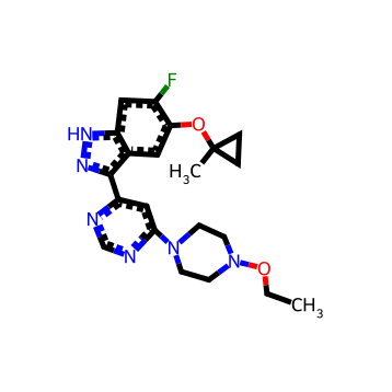 CCON1CCN(c2cc(-c3n[nH]c4cc(F)c(OC5(C)CC5)cc34)ncn2)CC1